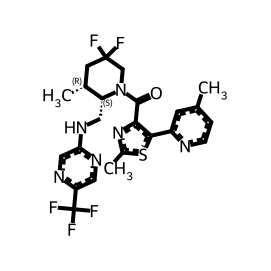 Cc1ccnc(-c2sc(C)nc2C(=O)N2CC(F)(F)C[C@@H](C)[C@H]2CNc2cnc(C(F)(F)F)cn2)c1